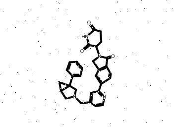 O=C1CCC(N2Cc3cc(-c4cc(CN5CC6CC6(c6ccccc6)C5)ccn4)ccc3C2=O)C(=O)N1